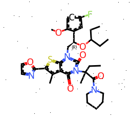 CCC(CC)O[C@@H](Cn1c(=O)n(C(C)(CC)C(=O)N2CCCCC2)c(=O)c2c(C)c(-c3ncco3)sc21)c1cc(F)ccc1OC